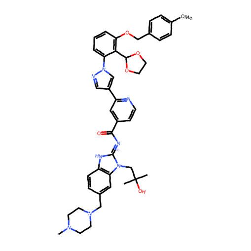 COc1ccc(COc2cccc(-n3cc(-c4cc(C(=O)/N=c5\[nH]c6ccc(CN7CCN(C)CC7)cc6n5CC(C)(C)O)ccn4)cn3)c2C2OCCO2)cc1